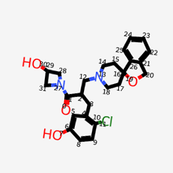 O=C(C(Cc1cc(O)ccc1Cl)CN1CCC2(CC1)OCc1ccccc12)N1CC(O)C1